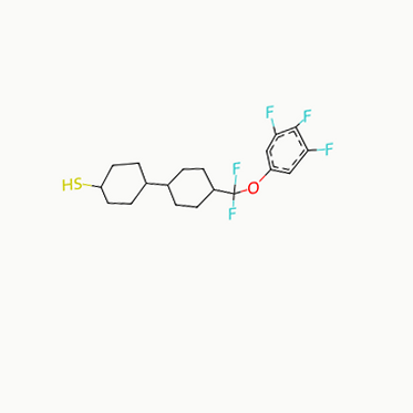 Fc1cc(OC(F)(F)C2CCC(C3CCC(S)CC3)CC2)cc(F)c1F